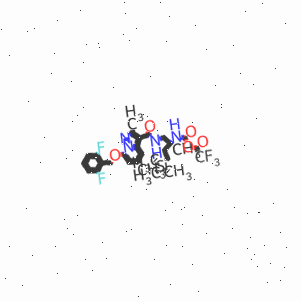 Cc1cc(OCc2c(F)cccc2F)n2nc(C)c(C(=O)NCC(C)(CC[Si](C)(C)C)NC(=O)OC(=O)C(F)(F)F)c2c1